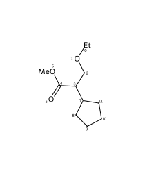 CCOCC(C(=O)OC)C1CCCC1